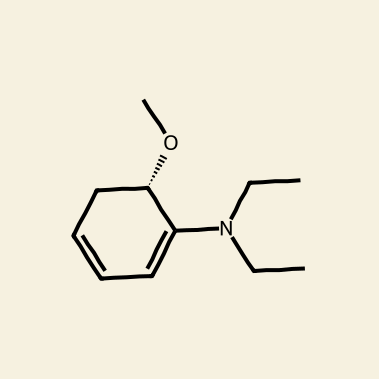 CCN(CC)C1=CC=CC[C@@H]1OC